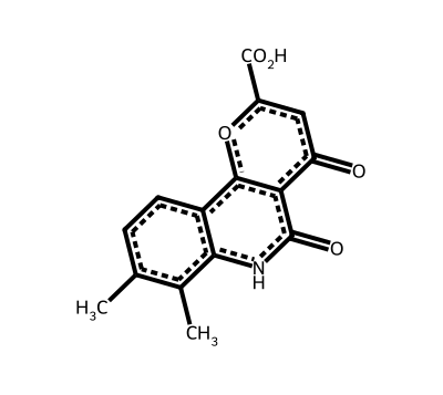 Cc1ccc2c([nH]c(=O)c3c(=O)cc(C(=O)O)oc32)c1C